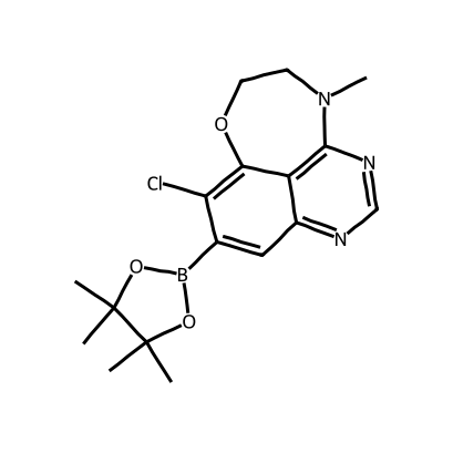 CN1CCOc2c(Cl)c(B3OC(C)(C)C(C)(C)O3)cc3ncnc1c23